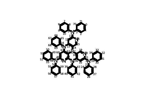 c1ccc(N(c2ccccc2)c2cc3c(cn2)B2c4cnc(N(c5ccccc5)c5ccccc5)cc4N(c4ccccc4)c4nc(N(c5ccccc5)c5ccccc5)cc(c42)N3c2ccccc2)cc1